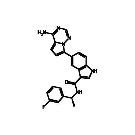 C[C@H](NC(=O)c1c[nH]c2ccc(-c3ccc4c(N)ncnn34)cc12)c1cccc(F)c1